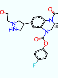 CC(=O)N1c2ccc(C3CNN(CCO)C3)cc2N(C(=O)Oc2ccc(F)cc2)C[C@@H]1C